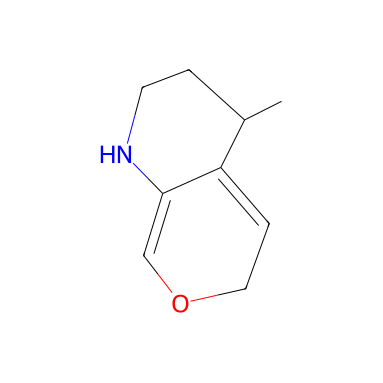 CC1CCNC2=COCC=C21